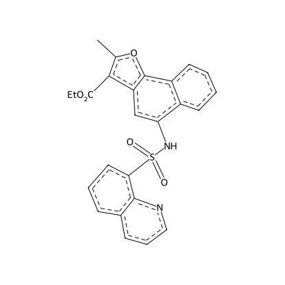 CCOC(=O)c1c(C)oc2c1cc(NS(=O)(=O)c1cccc3cccnc13)c1ccccc12